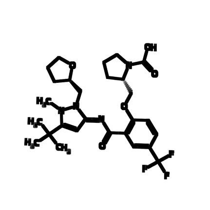 Cn1c(C(C)(C)C)c/c(=N\C(=O)c2cc(C(F)(F)F)ccc2OC[C@@H]2CCCN2C(=O)O)n1C[C@H]1CCCO1